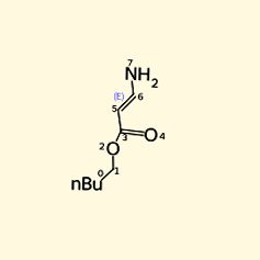 CCCCCOC(=O)/C=C/N